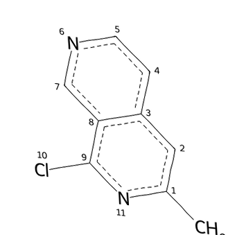 Cc1cc2ccncc2c(Cl)n1